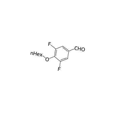 CCCCCCOc1c(F)cc(C=O)cc1F